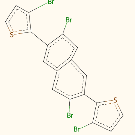 Brc1cc2cc(-c3sccc3Br)c(Br)cc2cc1-c1sccc1Br